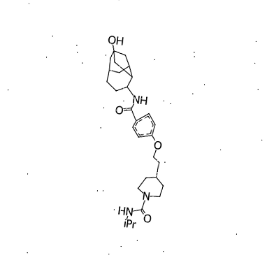 CC(C)NC(=O)N1CCC(CCOc2ccc(C(=O)NC3CCC4CC5CC(O)(C4)CC53)cc2)CC1